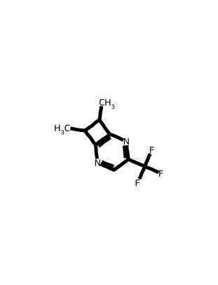 CC1c2ncc(C(F)(F)F)nc2C1C